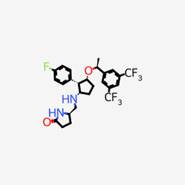 C[C@H](O[C@@H]1CC[C@H](NC[C@H]2CCC(=O)N2)[C@@H]1c1ccc(F)cc1)c1cc(C(F)(F)F)cc(C(F)(F)F)c1